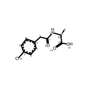 C[C@H](NC(=O)Cc1ccc(Cl)cc1)C(=O)O